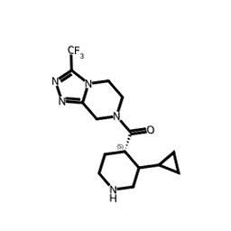 O=C([C@H]1CCNCC1C1CC1)N1CCn2c(nnc2C(F)(F)F)C1